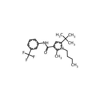 CCCCn1c(C(C)(C)C)cc(C(=O)Nc2cccc(C(F)(F)F)c2)c1C